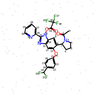 CC(=O)N1CCCC1c1cc2c(cc1Oc1ccc(C(F)F)cc1)nc(-c1ccccn1)n2OC(=O)C(F)(F)F